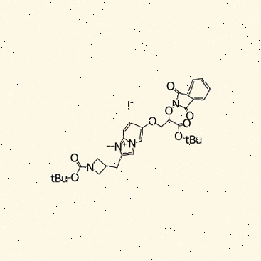 C[n+]1c(CC2CN(C(=O)OC(C)(C)C)C2)cn2cc(OCC(ON3C(=O)c4ccccc4C3=O)C(=O)OC(C)(C)C)ccc21.[I-]